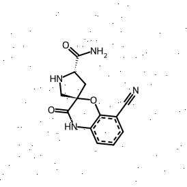 N#Cc1cccc2c1O[C@]1(CN[C@H](C(N)=O)C1)C(=O)N2